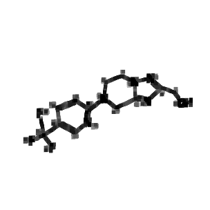 OCc1nc2n(n1)CCN(c1ccc(C(F)(F)F)cn1)C2